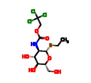 CCS[C@@H]1O[C@H](CO)[C@@H](O)[C@H](O)[C@H]1NC(=O)OCC(Cl)(Cl)Cl